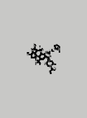 C=CC(=O)N1C[C@H](C)N(c2nc(OC[C@@H]3CCCN3C)nc3c(F)c(-c4ccc(F)c5sc(N)c(C#N)c45)c(C(F)(F)F)cc23)C[C@H]1C